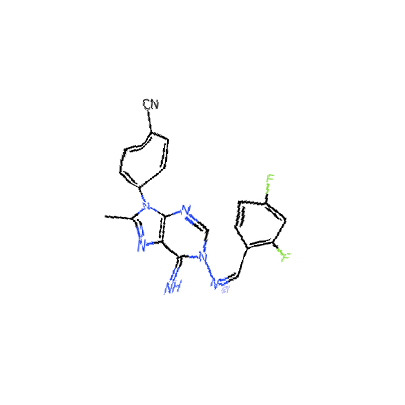 Cc1nc2c(=N)n(/N=C\c3ccc(F)cc3F)cnc2n1-c1ccc(C#N)cc1